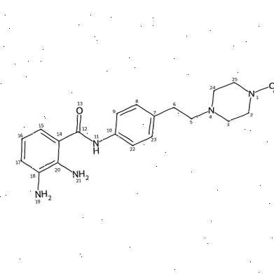 CN1CCN(CCc2ccc(NC(=O)c3cccc(N)c3N)cc2)CC1